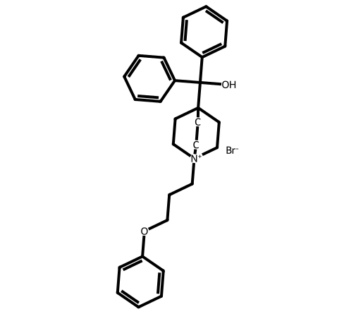 OC(c1ccccc1)(c1ccccc1)C12CC[N+](CCCOc3ccccc3)(CC1)CC2.[Br-]